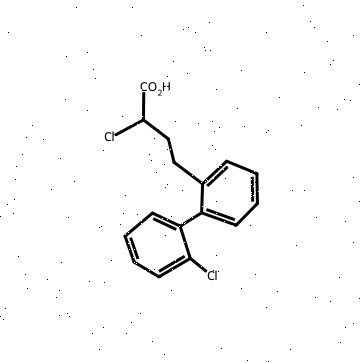 O=C(O)C(Cl)CCc1ccccc1-c1ccccc1Cl